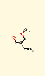 CC[C@H](CO)COC